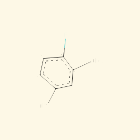 CC(C)c1ccc(F)c(C(C)(C)C)c1